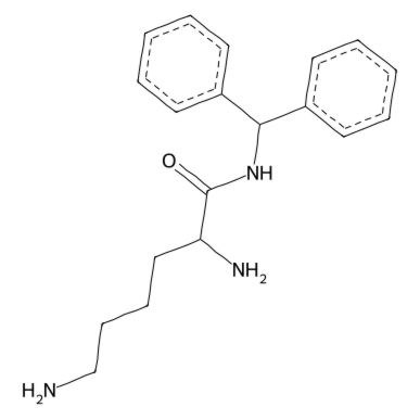 NCCCCC(N)C(=O)NC(c1ccccc1)c1ccccc1